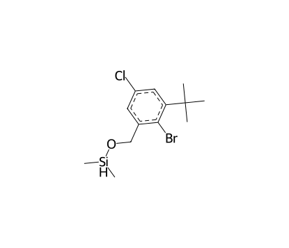 C[SiH](C)OCc1cc(Cl)cc(C(C)(C)C)c1Br